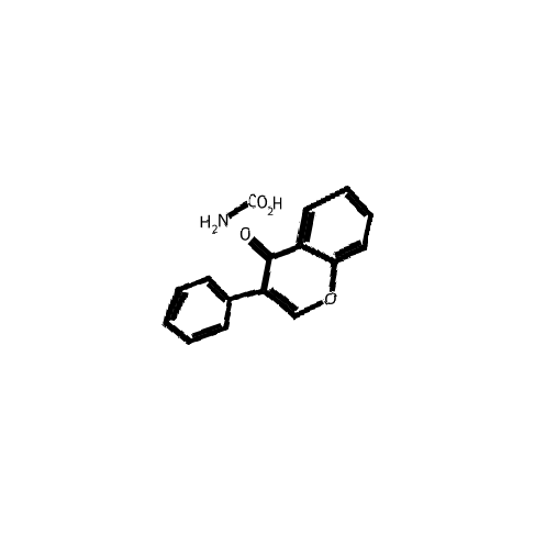 NC(=O)O.O=c1c(-c2ccccc2)coc2ccccc12